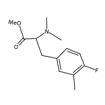 COC(=O)C(Cc1ccc(F)c(C)c1)N(C)C